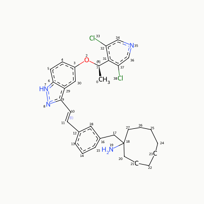 C[C@@H](Oc1ccc2[nH]nc(/C=C/c3cccc(CC4(N)CCCCCCCC4)c3)c2c1)c1c(Cl)cncc1Cl